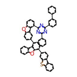 c1ccc(-c2cccc(-c3nc(-c4ccccc4)nc(-c4cccc5oc6ccc(-c7ccc(-c8ccc9c(c8)sc8ccccc89)c8oc9ccccc9c78)cc6c45)n3)c2)cc1